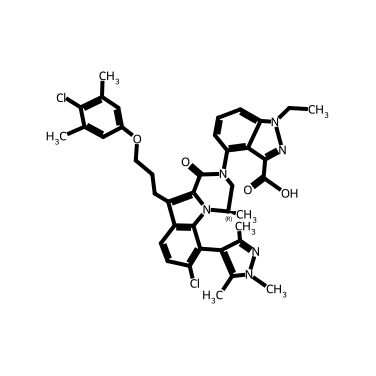 CCn1nc(C(=O)O)c2c(N3C[C@@H](C)n4c(c(CCCOc5cc(C)c(Cl)c(C)c5)c5ccc(Cl)c(-c6c(C)nn(C)c6C)c54)C3=O)cccc21